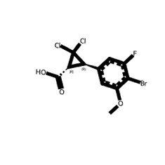 COc1cc([C@H]2[C@H](C(=O)O)C2(Cl)Cl)cc(F)c1Br